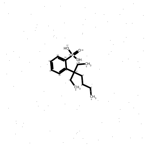 CCCCC(CC)(CC)c1ccccc1P(=O)(O)O